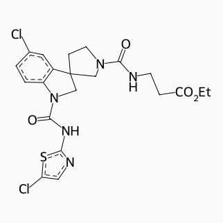 CCOC(=O)CCNC(=O)N1CCC2(C1)CN(C(=O)Nc1ncc(Cl)s1)c1ccc(Cl)cc12